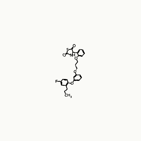 CCCc1cc(F)ccc1Oc1cccc(OCCCOc2ccccc2C2NC(=O)SC2=O)c1